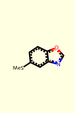 CSc1ccc2ocnc2c1